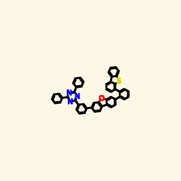 c1ccc(-c2nc(-c3ccccc3)nc(-c3cccc(-c4ccc5c(c4)oc4cc(-c6ccccc6-c6cccc7c6sc6ccccc67)ccc45)c3)n2)cc1